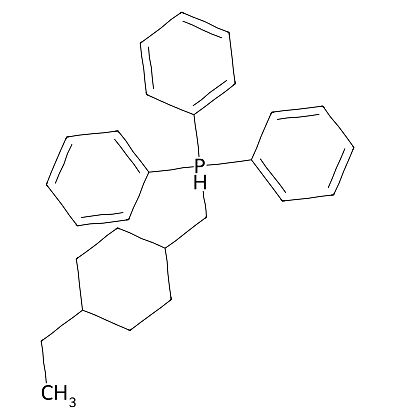 CCC1CCC(C[PH](c2ccccc2)(c2ccccc2)c2ccccc2)CC1